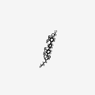 C/C=C/CCC1COC(c2ccc(-c3ccc(-c4ccc(OCC)c(F)c4F)cc3)c(F)c2F)OC1